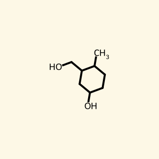 CC1CCC(O)CC1CO